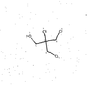 OCC(Cl)(CCl)CCl